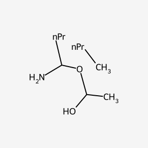 CCCC.CCCC(N)OC(C)O